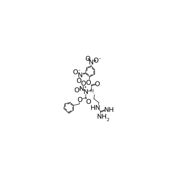 N=C(N)NCCC[C@@H](C(=O)Oc1ccc([N+](=O)[O-])cc1[N+](=O)[O-])N(C(=O)OCc1ccccc1)[N+](=O)[O-]